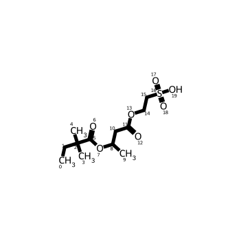 CCC(C)(C)C(=O)OC(C)CC(=O)OCCS(=O)(=O)O